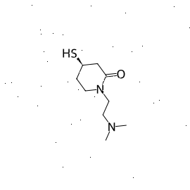 CN(C)CCN1CC[C@@H](S)CC1=O